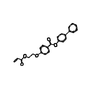 C=CC(=O)OCCOc1ccc(C(=O)Oc2ccc(-c3ccccc3)cc2)cc1